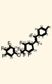 Cc1ccc(/C(F)=C(\F)c2cc(F)c(C(F)(F)Oc3cc(F)c(F)c(F)c3)c(F)c2)cc1